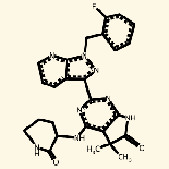 CC1(C)C(=O)Nc2nc(-c3nn(Cc4ccccc4F)c4ncccc34)nc(NC3CCCNC3=O)c21